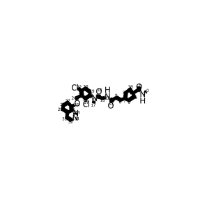 CNC(=O)c1ccc(/C=C/C(=O)NCC(=O)N(C)c2ccc(Cl)c(COc3cccc4ccnnc34)c2Cl)cc1